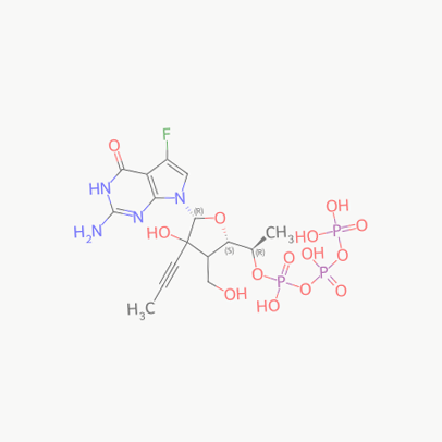 CC#CC1(O)C(CO)[C@@H]([C@@H](C)OP(=O)(O)OP(=O)(O)OP(=O)(O)O)O[C@H]1n1cc(F)c2c(=O)[nH]c(N)nc21